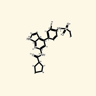 CCS(=O)(=O)Nc1ccc(-c2cc(NC(=O)C3CCCC3)nc3[nH]ccc23)cc1F